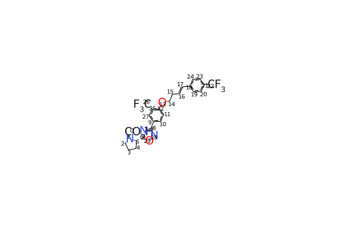 O=C(O)N1CCC[C@H]1c1nc(-c2ccc(OCC/C=C/c3ccc(C(F)(F)F)cc3)c(C(F)(F)F)c2)no1